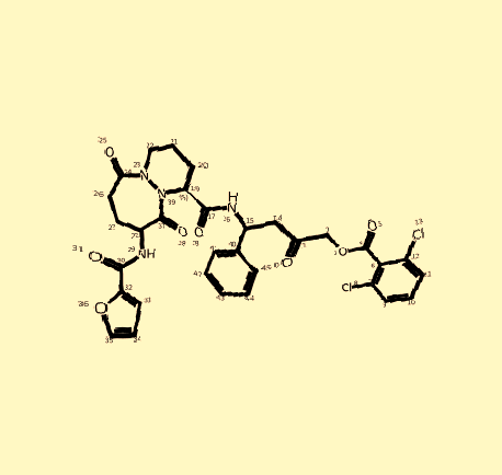 O=C(COC(=O)c1c(Cl)cccc1Cl)CC(NC(=O)[C@@H]1CCCN2C(=O)CCC(NC(=O)c3ccco3)C(=O)N12)c1ccccc1